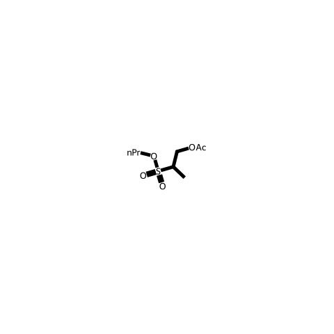 CCCOS(=O)(=O)C(C)COC(C)=O